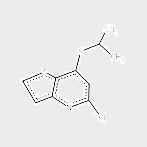 CC(C)Sc1cc(Cl)nc2ccsc12